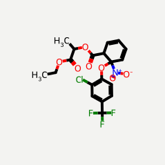 CCOC(=O)C(C)OC(=O)C1C=CC=CC1(Oc1ccc(C(F)(F)F)cc1Cl)[N+](=O)[O-]